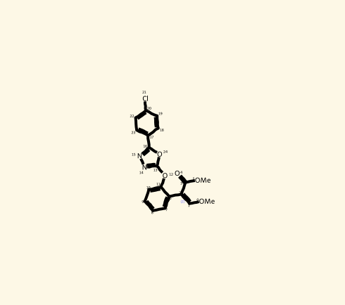 CO/C=C(\C(=O)OC)c1ccccc1Oc1nnc(-c2ccc(Cl)cc2)o1